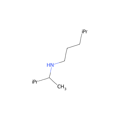 CC(C)CCCNC(C)C(C)C